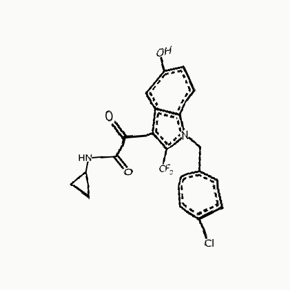 O=C(NC1CC1)C(=O)c1c(C(F)(F)F)n(Cc2ccc(Cl)cc2)c2ccc(O)cc12